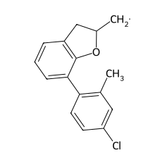 [CH2]C1Cc2cccc(-c3ccc(Cl)cc3C)c2O1